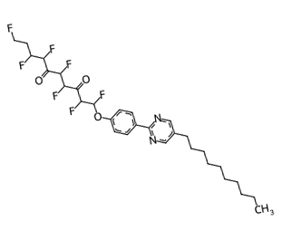 CCCCCCCCCCc1cnc(-c2ccc(OC(F)C(F)C(=O)C(F)C(F)C(=O)C(F)C(F)CCF)cc2)nc1